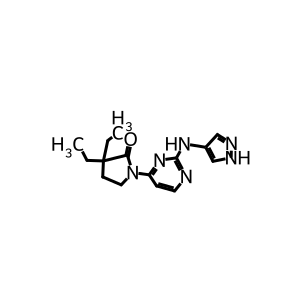 CCC1(CC)CCN(c2ccnc(Nc3cn[nH]c3)n2)C1=O